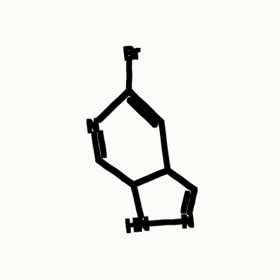 BrC1=CC2C=NNC2C=N1